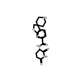 O=C1CC[C@H](NC(=O)c2ccc3c(n2)OCC32CCNCC2)C(=O)N1